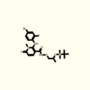 CC(CONC(=O)c1ccc(=O)n(C)c1Nc1ccc(Br)cc1F)O[Si](C)(C)C(C)(C)C